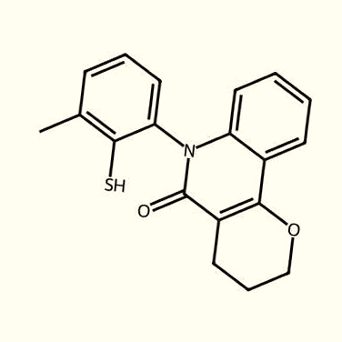 Cc1cccc(-n2c(=O)c3c(c4ccccc42)OCCC3)c1S